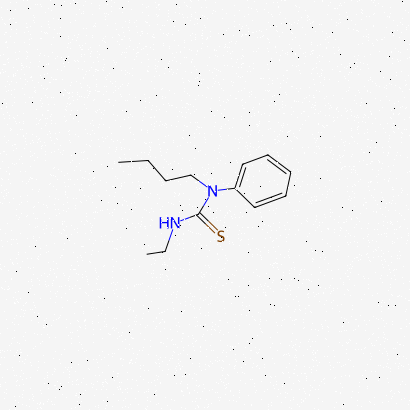 CCCCN(C(=S)NCC)c1ccccc1